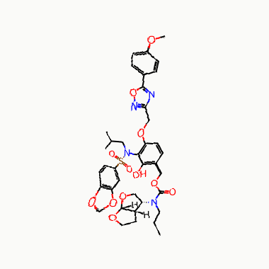 CCCN(C(=O)OCc1ccc(OCc2noc(-c3ccc(OC)cc3)n2)c(N(CC(C)C)S(=O)(=O)c2ccc3c(c2)OCO3)c1O)[C@H]1CO[C@H]2OCC[C@H]21